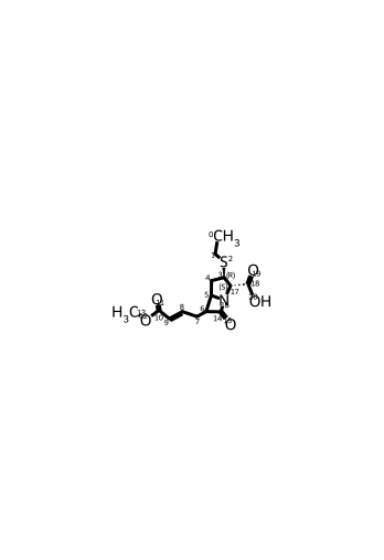 CCS[C@@H]1CC2C(CC=CC(=O)OC)C(=O)N2[C@H]1C(=O)O